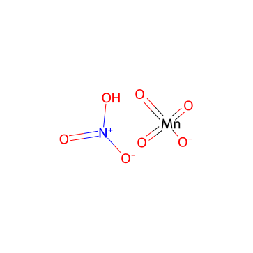 O=[N+]([O-])O.[O]=[Mn](=[O])(=[O])[O-]